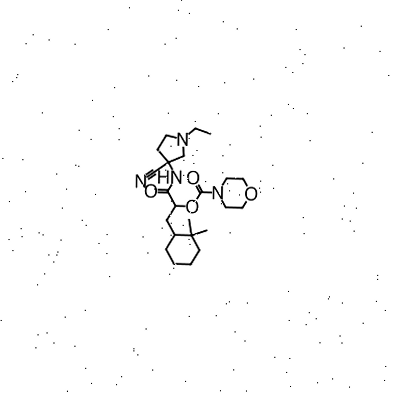 CCN1CCC(C#N)(NC(=O)C(CC2CCCCC2(C)C)OC(=O)N2CCOCC2)C1